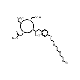 CCOCCOCCOCCOc1ccc(CC(C(=O)O)N2CCN(CC(=O)O)CCN(CC(=O)O)CCN(CC(=O)OC)CC2)cc1